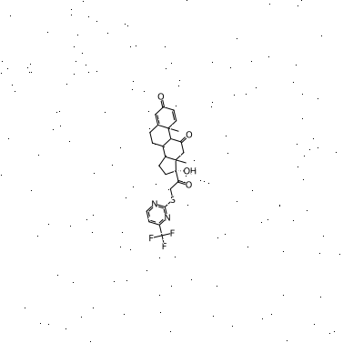 CC12C=CC(=O)C=C1CCC1C2C(=O)CC2(C)C1CC[C@]2(O)C(=O)CSc1nccc(C(F)(F)F)n1